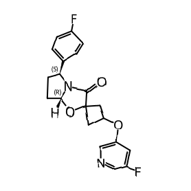 O=C1N2[C@@H](CC[C@H]2c2ccc(F)cc2)OC12CC(Oc1cncc(F)c1)C2